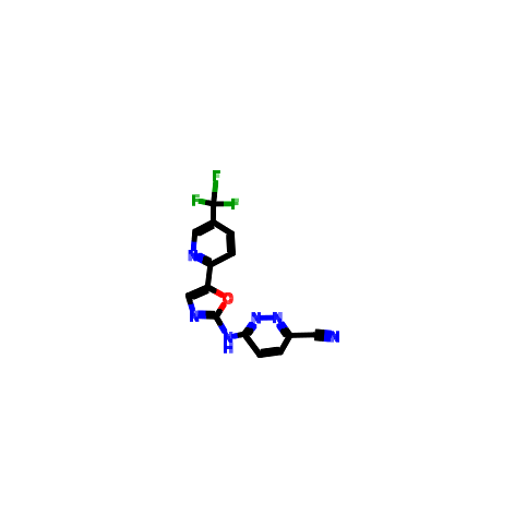 N#Cc1ccc(Nc2ncc(-c3ccc(C(F)(F)F)cn3)o2)nn1